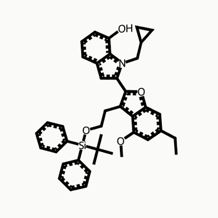 CCc1cc(OC)c2c(CCO[Si](c3ccccc3)(c3ccccc3)C(C)(C)C)c(-c3cc4cccc(O)c4n3CC3CC3)oc2c1